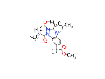 COC(=O)C1(c2ccc(N(CC(C)C)C3CCOCC3)c(NC(=O)C(C)C)c2)CCC1